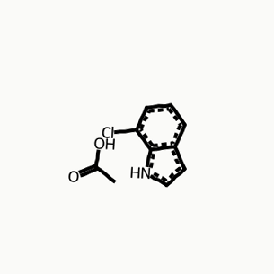 CC(=O)O.Clc1cccc2cc[nH]c12